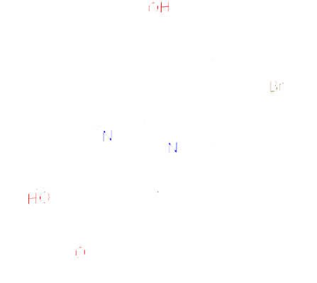 O=C(O)c1cn2cc(Br)cc(CO)c2n1